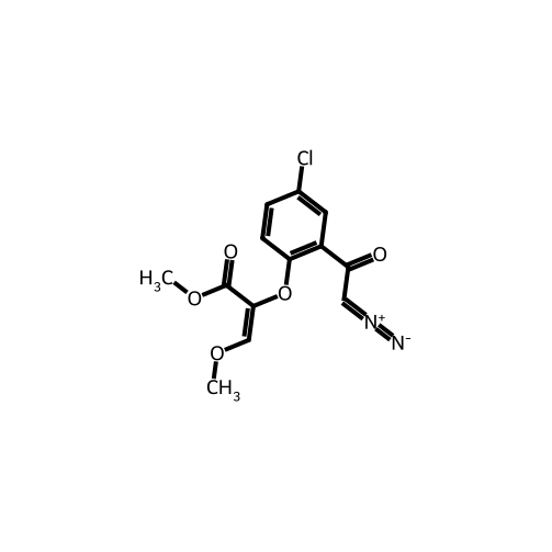 CO/C=C(/Oc1ccc(Cl)cc1C(=O)C=[N+]=[N-])C(=O)OC